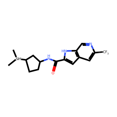 C[SiH](C)C1CCC(NC(=O)c2cc3cc(C(F)(F)F)ncc3[nH]2)C1